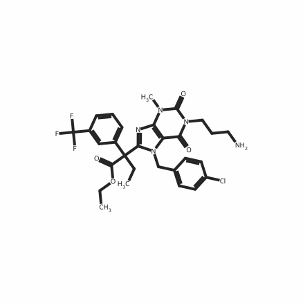 CCOC(=O)C(CC)(c1cccc(C(F)(F)F)c1)c1nc2c(c(=O)n(CCCN)c(=O)n2C)n1Cc1ccc(Cl)cc1